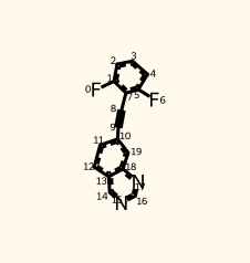 Fc1cccc(F)c1C#Cc1ccc2cncnc2c1